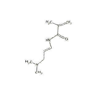 C=C(C)C(=O)NC=CCN(C)C